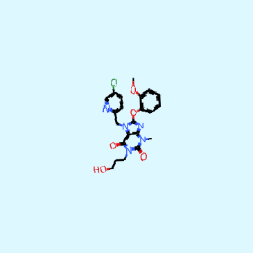 COc1ccccc1Oc1nc2c(c(=O)n(CCCO)c(=O)n2C)n1Cc1ccc(Cl)cn1